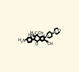 C#Cc1cc2c(cc1N1CCC(N3CCOCC3)CC1)C(C)(C)c1[nH]c3cc(N)ccc3c1C2=O